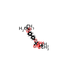 C=C(C)C(=O)OCC(CO)(CO)COc1ccc(-c2ccc(OC(=O)C(=C)C)cc2)cc1